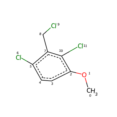 COc1ccc(Cl)c(CCl)c1Cl